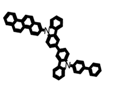 c1ccc(-c2ccc(-n3c4ccccc4c4cc(-c5ccc6c(c5)c5ccccc5n6-c5ccc6c(ccc7c8ccccc8ccc67)c5)ccc43)cc2)cc1